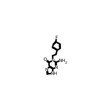 Nc1nc2[nH]cnc2c(=O)n1CCc1ccc(F)cc1